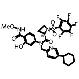 CONC(=O)c1ccc(N(Cc2ccc(C3CCCCC3)cn2)C(=O)[C@H]2CCN2S(=O)(=O)c2c(F)c(F)c(F)c(F)c2F)cc1O